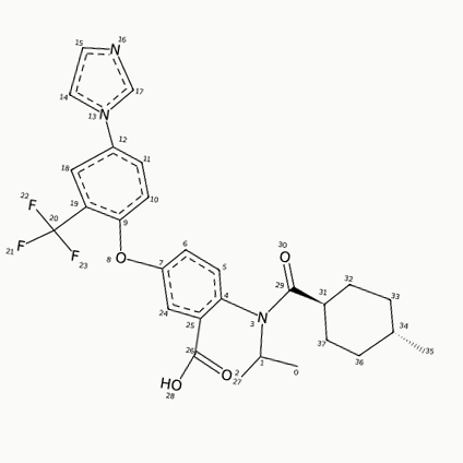 CC(C)N(c1ccc(Oc2ccc(-n3ccnc3)cc2C(F)(F)F)cc1C(=O)O)C(=O)[C@H]1CC[C@H](C)CC1